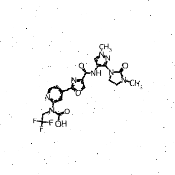 CN1CCN(c2nn(C)cc2NC(=O)c2coc(-c3ccnc(N(CC(F)(F)F)C(=O)O)c3)n2)C1=O